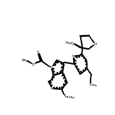 COCc1cc(-c2cn(C(=O)OC(C)(C)C)c3cnc(NC(C)=O)cc23)nc(C2(OC)CCOC2)c1